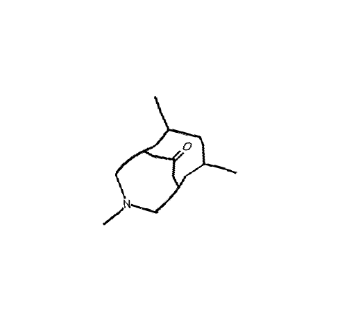 CC1CC(C)C2CN(C)CC1C2=O